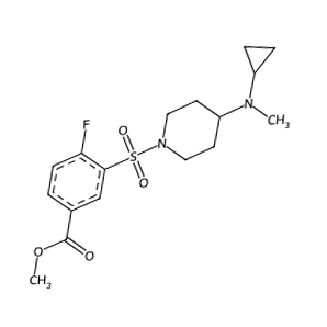 COC(=O)c1ccc(F)c(S(=O)(=O)N2CCC(N(C)C3CC3)CC2)c1